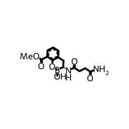 COC(=O)c1cccc2c1OB(O)[C@@H](NC(=O)CCC(N)=O)C2